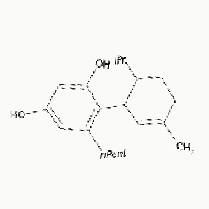 CCCCCc1cc(O)cc(O)c1C1C=C(C)CCC1C(C)C